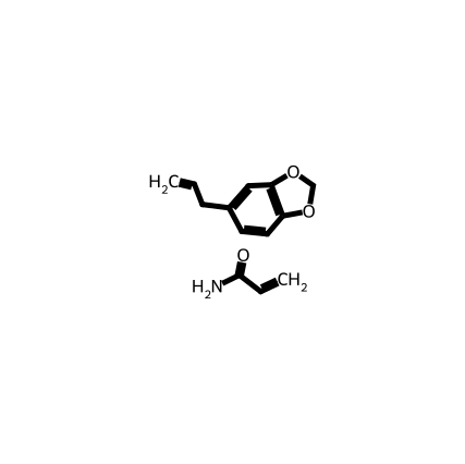 C=CC(N)=O.C=CCc1ccc2c(c1)OCO2